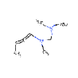 CC=C=CN(C)CN(C)C(C)(C)C